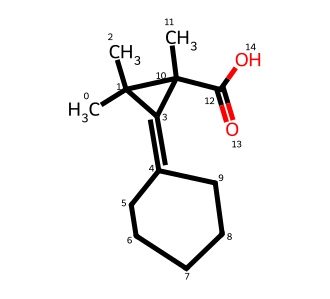 CC1(C)C(=C2CCCCC2)C1(C)C(=O)O